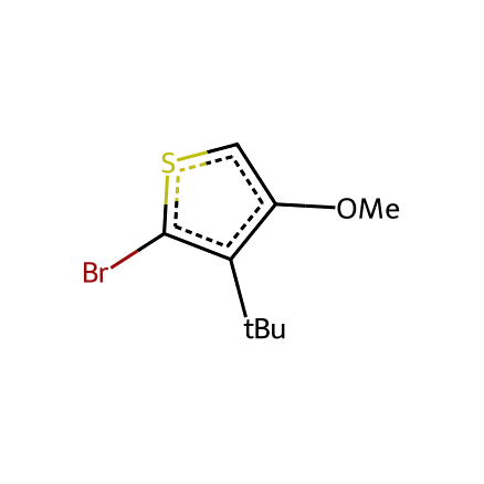 COc1csc(Br)c1C(C)(C)C